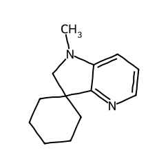 CN1CC2(CCCCC2)c2ncccc21